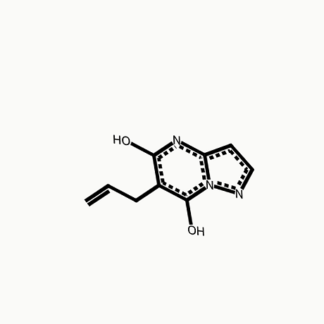 C=CCc1c(O)nc2ccnn2c1O